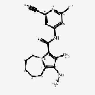 CNc1c(C)c(C(=O)Nc2cc(F)nc(C#N)c2)n2c1CCCCC2